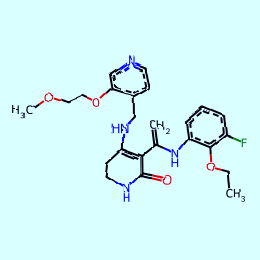 C=C(Nc1cccc(F)c1OCC)C1=C(NCc2ccncc2OCCOC)CCNC1=O